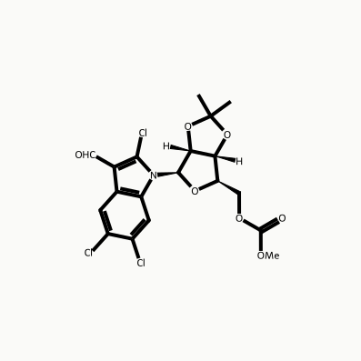 COC(=O)OC[C@H]1O[C@@H](n2c(Cl)c(C=O)c3cc(Cl)c(Cl)cc32)[C@@H]2OC(C)(C)O[C@@H]21